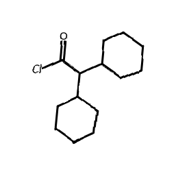 O=C(Cl)C(C1CCCCC1)C1CCCCC1